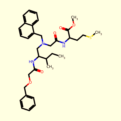 CCC(C)C(CN(CC(=O)NC(CCSC)C(=O)OC)Cc1cccc2ccccc12)NC(=O)COCc1ccccc1